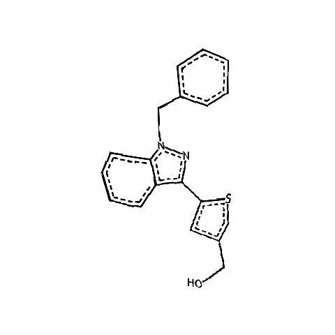 OCc1csc(-c2nn(Cc3ccccc3)c3ccccc23)c1